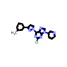 Cc1cccc(-c2ccn(-c3nc(Cl)nc4c3ncn4-c3cccnc3)n2)c1